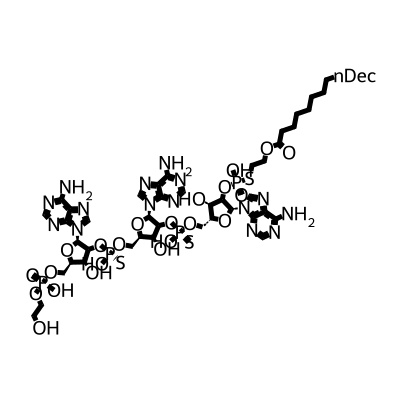 CCCCCCCCCCCCCCCCCC(=O)OCCSP(=O)(O)OC1[C@@H](O)[C@@H](COP(O)(=S)OC2[C@@H](O)[C@@H](COP(O)(=S)OC3[C@@H](O)[C@@H](COP(=O)(O)OCCO)O[C@H]3n3cnc4c(N)ncnc43)O[C@H]2n2cnc3c(N)ncnc32)O[C@H]1n1cnc2c(N)ncnc21